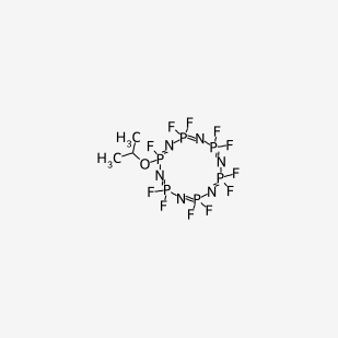 CC(C)OP1(F)=NP(F)(F)=NP(F)(F)=NP(F)(F)=NP(F)(F)=NP(F)(F)=N1